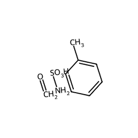 C=O.Cc1ccccc1.NS(=O)(=O)O